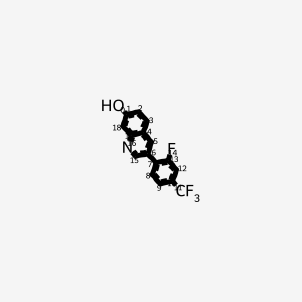 Oc1ccc2cc(-c3ccc(C(F)(F)F)cc3F)cnc2c1